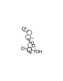 CC1C2CCCC(CC(F)(F)F)C2CCN1C(=O)Cc1c(Cl)cnc(C(C)(C)O)c1Cl